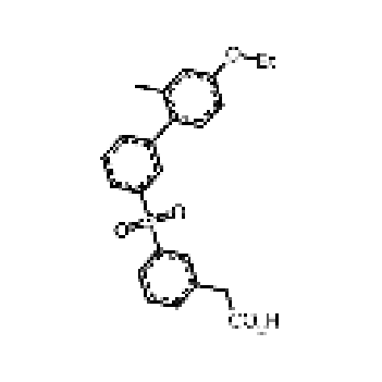 CCOc1ccc(-c2cccc(S(=O)(=O)c3cccc(CC(=O)O)c3)c2)c(C)c1